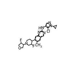 Cc1cc2cnc(Nc3cnn(C4CC4)c3Cl)nc2cc1C1CCN(C2COCC2F)CC1F